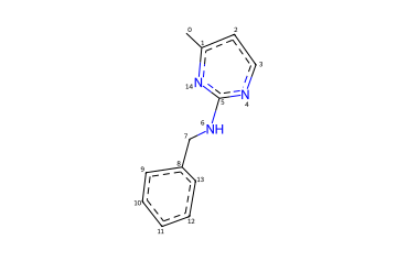 Cc1ccnc(NCc2ccccc2)n1